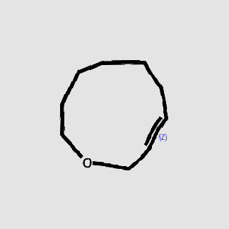 C1=C\COCCCCCC/1